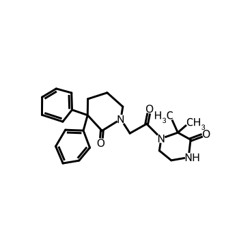 CC1(C)C(=O)NCCN1C(=O)CN1CCCC(c2ccccc2)(c2ccccc2)C1=O